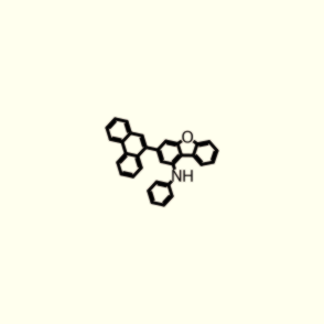 c1ccc(Nc2cc(-c3cc4ccccc4c4ccccc34)cc3oc4ccccc4c23)cc1